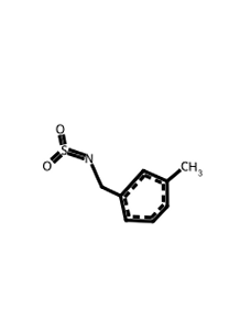 Cc1cccc(CN=S(=O)=O)c1